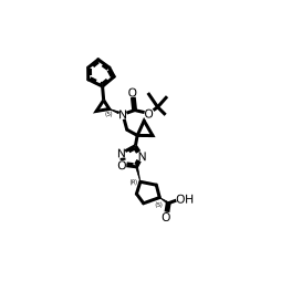 CC(C)(C)OC(=O)N(CC1(c2noc([C@@H]3CC[C@H](C(=O)O)C3)n2)CC1)[C@H]1CC1c1ccccc1